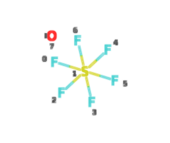 FS(F)(F)(F)(F)F.[O]